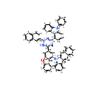 c1ccc(-n2c3ccccc3c3c(C4=NC(c5ccc6ccccc6c5)NC(c5cc(-n6c7ccccc7c7cc8ccccc8cc76)c6c(c5)oc5ccccc56)=N4)cccc32)cc1